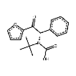 CC(C)(C)N(C(=O)O)[C@H](C(=O)c1ccco1)c1ccccc1